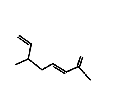 C=CC(C)C/C=C/C(=C)C